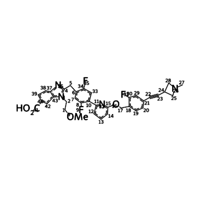 COCCn1c(Cc2cc(F)c(-c3cccc(OCc4ccc(C#CC5CN(C)C5)cc4F)n3)cc2F)nc2ccc(C(=O)O)cc21